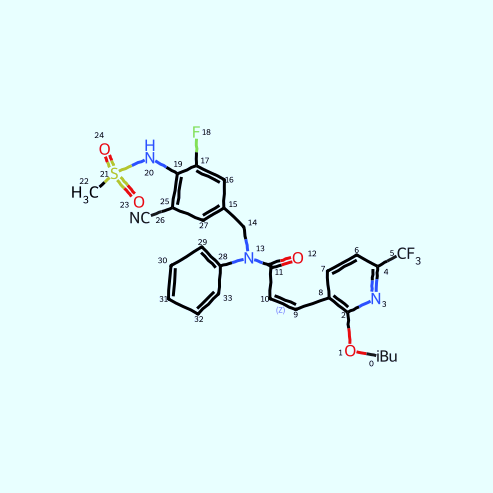 CCC(C)Oc1nc(C(F)(F)F)ccc1/C=C\C(=O)N(Cc1cc(F)c(NS(C)(=O)=O)c(C#N)c1)c1ccccc1